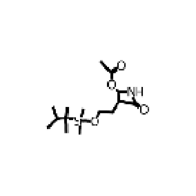 CC(=O)OC1NC(=O)C1CCO[Si](C)(C)C(C)(C)C(C)C